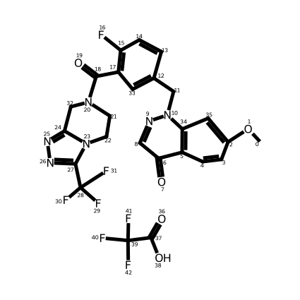 COc1ccc2c(=O)cnn(Cc3ccc(F)c(C(=O)N4CCn5c(nnc5C(F)(F)F)C4)c3)c2c1.O=C(O)C(F)(F)F